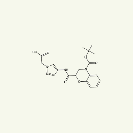 CC(C)(C)OC(=O)N1CC(C(=O)Nc2cnn(CC(=O)O)c2)Oc2ccccc21